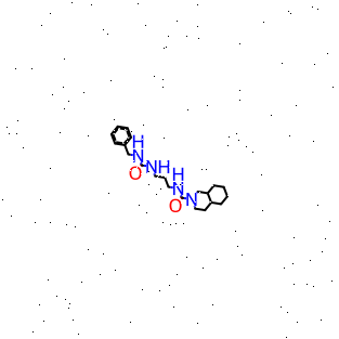 O=C(NCCCNC(=O)N1CCC2CCCCC2C1)NCc1ccccc1